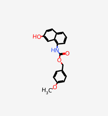 COc1ccc(COC(=O)Nc2cccc3ccc(O)cc23)cc1